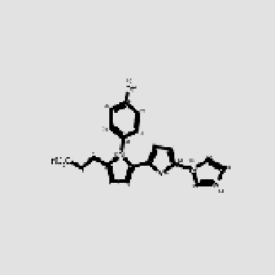 O=C(O)CCc1ccc(-c2ccc(-n3ccnc3)s2)n1-c1ccc(O)cc1